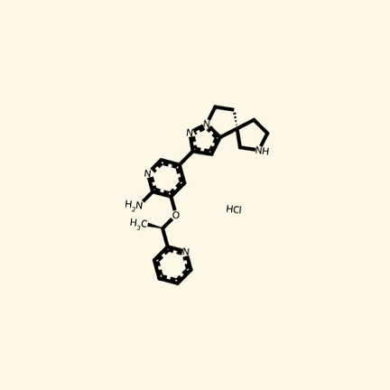 C[C@@H](Oc1cc(-c2cc3n(n2)CC[C@@]32CCNC2)cnc1N)c1ccccn1.Cl